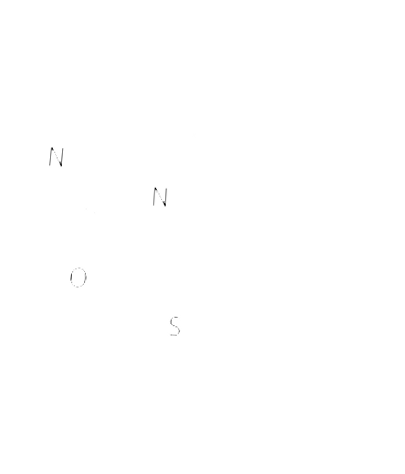 Cc1ccn(-c2cc(C)c(C)s2)c(=O)n1